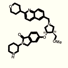 COC[C@@H]1CN(Cc2ccc3nc(C4CCOCC4)ccc3c2)C[C@H]1Oc1ccc2c(c1)CN(C1CCCNC1)C2=O